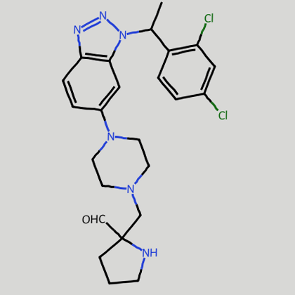 CC(c1ccc(Cl)cc1Cl)n1nnc2ccc(N3CCN(CC4(C=O)CCCN4)CC3)cc21